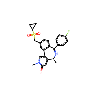 C[C@@H]1N=C(c2ccc(F)cc2)c2ccc(CS(=O)(=O)C3CC3)cc2-c2cn(C)c(=O)cc21